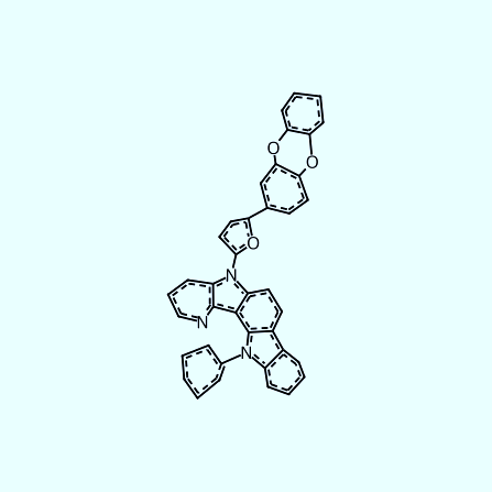 c1ccc(-n2c3ccccc3c3ccc4c(c5ncccc5n4-c4ccc(-c5ccc6c(c5)Oc5ccccc5O6)o4)c32)cc1